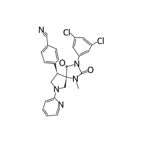 CN1C(=O)N(c2cc(Cl)cc(Cl)c2)C(=O)[C@]12CN(c1ccccn1)C[C@H]2c1ccc(C#N)cc1